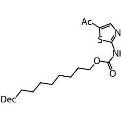 CCCCCCCCCCCCCCCCCCOC(=O)Nc1ncc(C(C)=O)s1